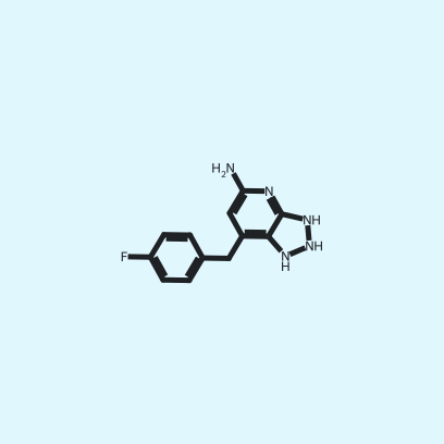 Nc1cc(Cc2ccc(F)cc2)c2c(n1)NNN2